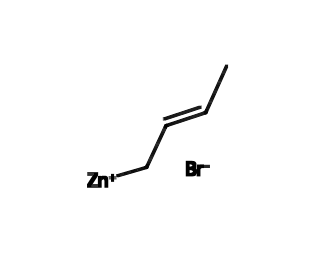 CC=C[CH2][Zn+].[Br-]